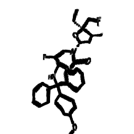 CC[C@@]1(CF)O[C@@H](n2cc(F)c(NC(c3ccccc3)(c3ccccc3)c3ccc(OC)cc3)nc2=O)C[C@@H]1C